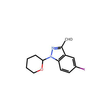 O=Cc1nn(C2CCCCO2)c2ccc(I)cc12